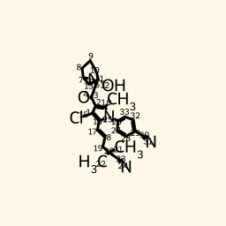 Cc1c(C(=O)CN2C3CCC2[C@H](O)C3)c(Cl)c(/C=C/CC(C)(C)C#N)n1-c1ccc(C#N)cc1